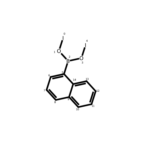 IOB(OI)c1cccc2ccccc12